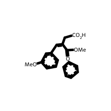 COC(=O)C(=Cc1cccc(OC)c1)CC(=O)O.c1ccccc1